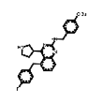 CC(C)COc1ccc(CNc2nc(C3CCNC3)c3c(Cc4ccc(F)cc4)cccc3n2)cc1